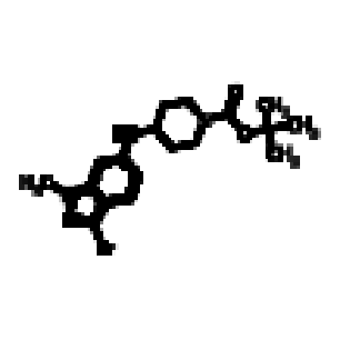 Cn1nc(Br)c2ccc(NC3CCN(C(=O)OC(C)(C)C)CC3)cc21